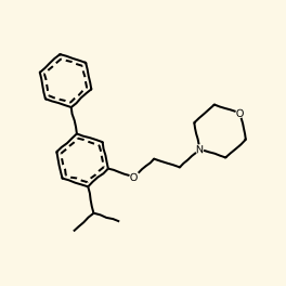 CC(C)c1ccc(-c2ccccc2)cc1OCCN1CCOCC1